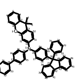 CC1(C)c2ccccc2Oc2cc(N(c3ccc(-c4ccccc4)cc3)c3ccc(C4(c5ccccc5)c5ccccc5-c5ccccc54)cc3)ccc21